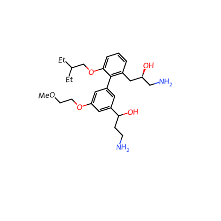 CCC(CC)COc1cccc(C[C@@H](O)CN)c1-c1cc(OCCOC)cc(C(O)CCN)c1